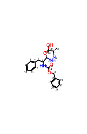 C[C@@H](/N=N\CC(Cc1ccccc1)NC(=O)OCc1ccccc1)C(=O)O